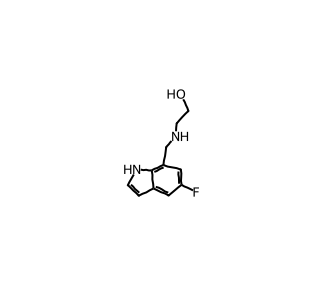 OCCNCc1cc(F)cc2cc[nH]c12